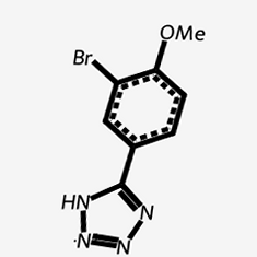 COc1ccc(C2=NN=[N+]N2)cc1Br